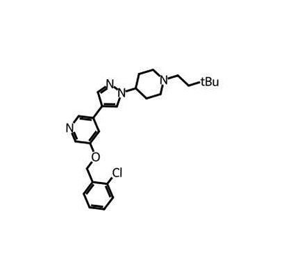 CC(C)(C)CCN1CCC(n2cc(-c3cncc(OCc4ccccc4Cl)c3)cn2)CC1